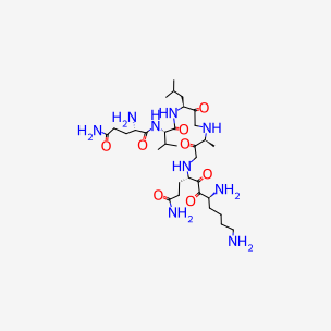 CC(C)C[C@H](NC(=O)[C@@H](NC(=O)[C@@H](N)CCC(N)=O)C(C)C)C(=O)CN[C@@H](C)C(=O)CN[C@@H](CCC(N)=O)C(=O)C(=O)[C@@H](N)CCCCN